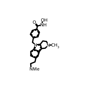 CNCCc1ccc2c(c1)c1c(n2Cc2ccc(C(=O)NO)cc2)CCN(C)C1